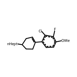 CCCCCCCC1CC=C(c2ccc(OC)c(F)c2Cl)CC1